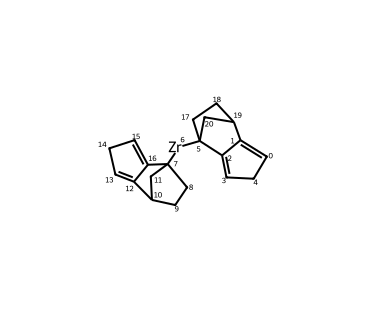 C1=C2C(=CC1)[C]1([Zr][C]34CCC(C3)C3=CCC=C34)CCC2C1